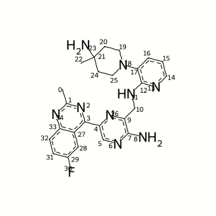 Cc1nc(-c2cnc(N)c(CNc3ncccc3N3CCC(C)(N)CC3)n2)c2cc(F)ccc2n1